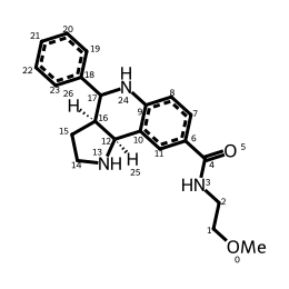 COCCNC(=O)c1ccc2c(c1)[C@H]1NCC[C@H]1C(c1ccccc1)N2